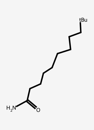 CC(C)(C)CCCCCCCCC(N)=O